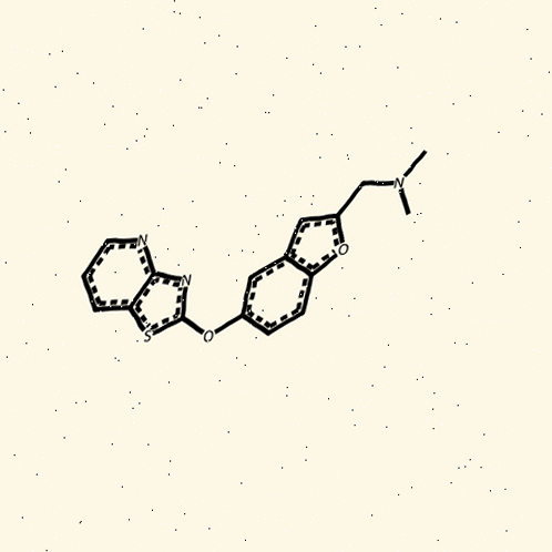 CN(C)Cc1cc2cc(Oc3nc4ncccc4s3)ccc2o1